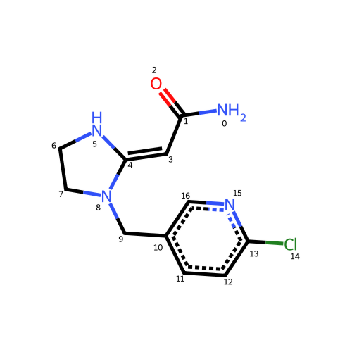 NC(=O)C=C1NCCN1Cc1ccc(Cl)nc1